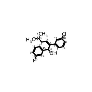 CN(C)CC=C(c1cccc(Cl)c1)C(O)c1cccc(F)c1